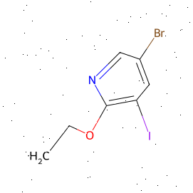 [CH2]COc1ncc(Br)cc1I